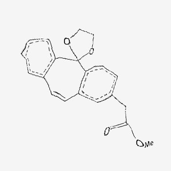 COC(=O)Cc1ccc2c(c1)C=Cc1ccccc1C21OCCO1